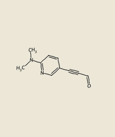 CN(C)c1ccc(C#CC=O)cn1